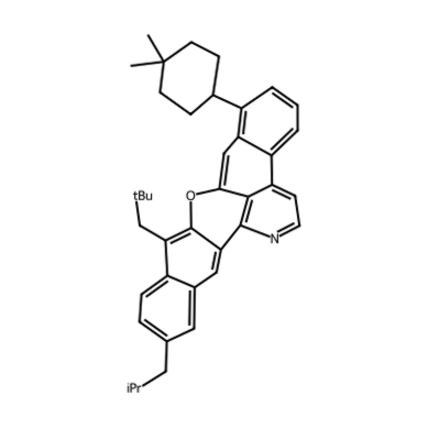 CC(C)Cc1ccc2c(CC(C)(C)C)c3c(cc2c1)-c1nccc2c1c(cc1c(C4CCC(C)(C)CC4)cccc12)O3